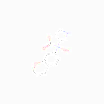 O=C([O-])[N+](O)(c1ccc2c(c1)OCC=C2)C1CCNC1